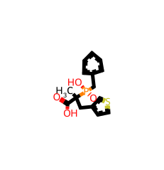 CC(Cc1ccsc1)(C(=O)O)P(=O)(O)Cc1ccccc1